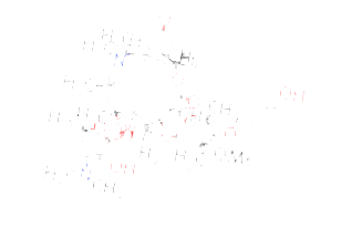 CC[C@H]1OC(=O)[C@H](C)[C@@H](O[C@H]2C[C@@](C)(OC)[C@@H](OCCCCO)[C@H](C)O2)[C@H](C)[C@@H](O[C@@H]2O[C@H](C)C[C@H](N(C)C)[C@H]2O)[C@](C)(O)C[C@@H](C)CN(C)[C@H](C)[C@H]2CC(=O)C[C@@]21C